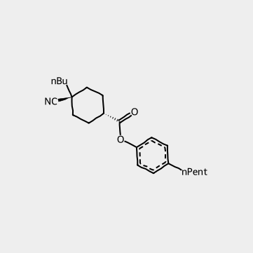 CCCCCc1ccc(OC(=O)[C@H]2CC[C@@](C#N)(CCCC)CC2)cc1